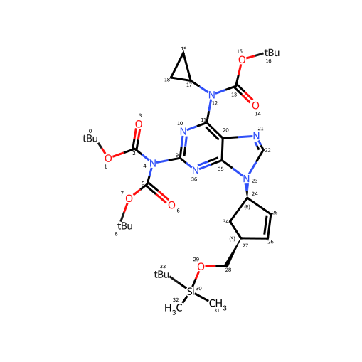 CC(C)(C)OC(=O)N(C(=O)OC(C)(C)C)c1nc(N(C(=O)OC(C)(C)C)C2CC2)c2ncn([C@H]3C=C[C@@H](CO[Si](C)(C)C(C)(C)C)C3)c2n1